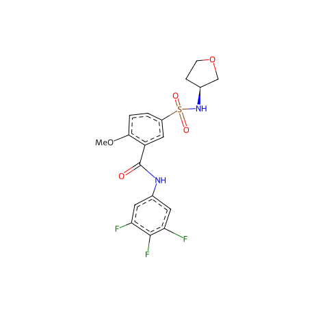 COc1ccc(S(=O)(=O)N[C@H]2CCOC2)cc1C(=O)Nc1cc(F)c(F)c(F)c1